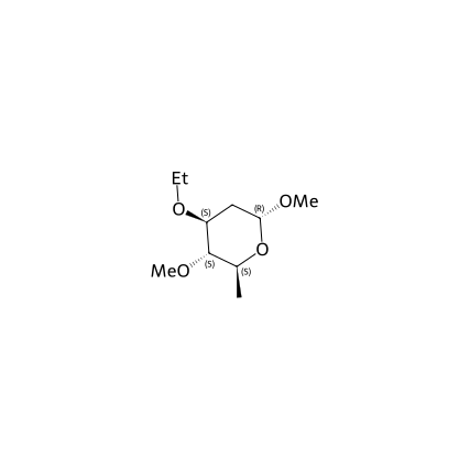 CCO[C@H]1C[C@H](OC)O[C@@H](C)[C@@H]1OC